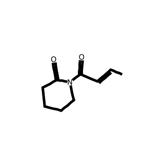 CC=CC(=O)N1CCCCC1=O